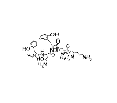 CN1C(=O)[C@H](C[C@@H](O)CN)NC(=O)[C@@H](N)Cc2cc(ccc2O)-c2ccc(O)c(c2)C[C@H]1C(=O)NC[C@H](N)C(=O)NC[C@@H](N)CCCN